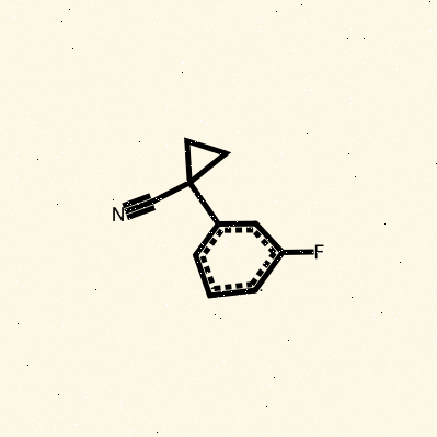 N#CC1(c2cc[c]c(F)c2)CC1